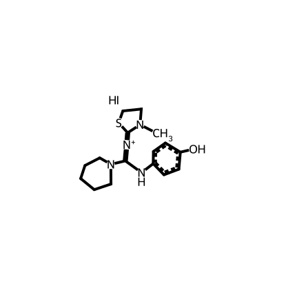 CN1CCSC1=[N+]=C(Nc1ccc(O)cc1)N1CCCCC1.I